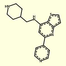 c1cc(-c2cc(NCC3CCNCC3)c3sccc3n2)ccn1